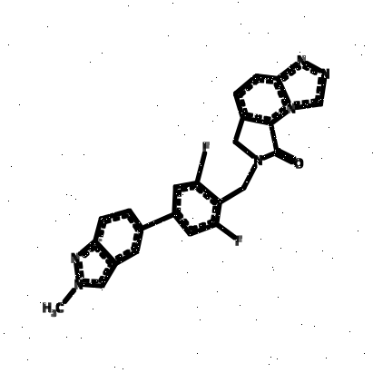 Cn1cc2cc(-c3cc(F)c(CN4Cc5ccc6nncn6c5C4=O)c(F)c3)ccc2n1